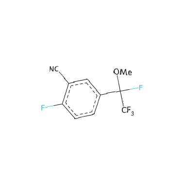 COC(F)(c1ccc(F)c(C#N)c1)C(F)(F)F